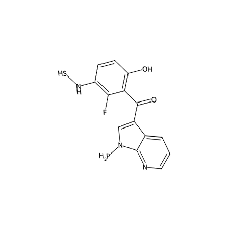 O=C(c1c(O)ccc(NS)c1F)c1cn(P)c2ncccc12